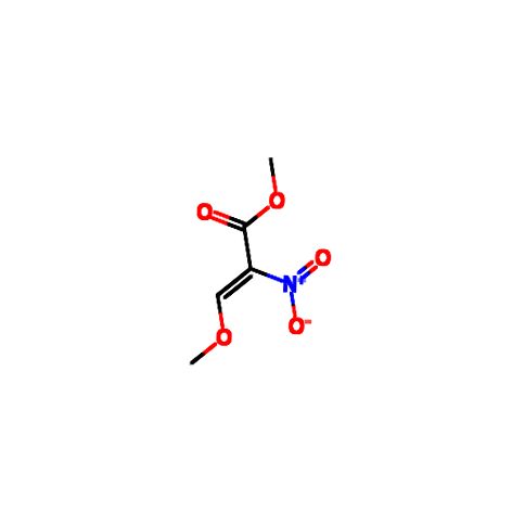 CO/C=C(/C(=O)OC)[N+](=O)[O-]